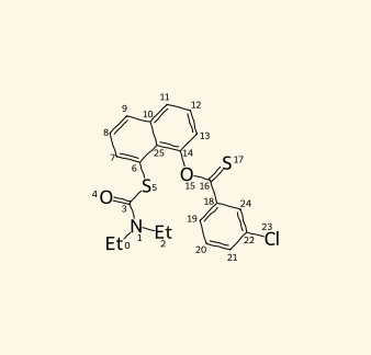 CCN(CC)C(=O)Sc1cccc2cccc(OC(=S)c3cccc(Cl)c3)c12